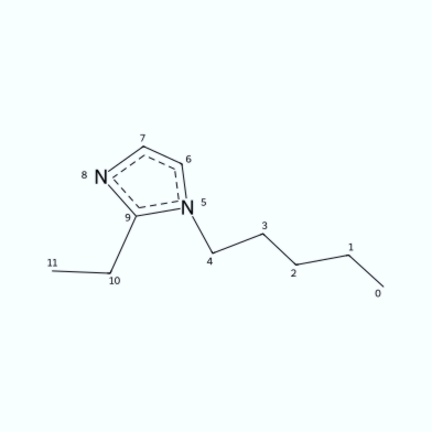 CCCCCn1ccnc1CC